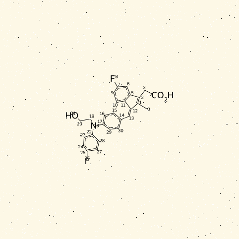 CC1=C(CC(=O)O)c2cc(F)ccc2/C1=C\c1ccc(N(CCO)c2ccc(F)cc2)cc1